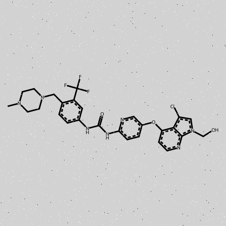 CN1CCN(Cc2ccc(NC(=O)Nc3ccc(Oc4ccnc5c4c(Cl)cn5CO)cn3)cc2C(F)(F)F)CC1